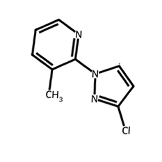 Cc1cccnc1-n1[c]cc(Cl)n1